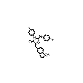 Cc1ccc(N2C(=O)/C(=C/c3ccc4[nH]ccc4c3)S/C2=N\c2ccc(F)cc2)cc1